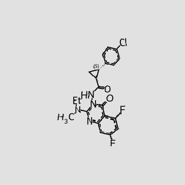 CCN(C)c1nc2cc(F)cc(F)c2c(=O)n1NC(=O)C1C[C@@H]1c1ccc(Cl)cc1